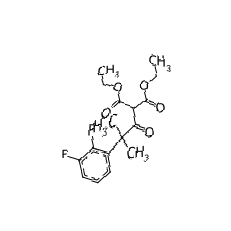 CCOC(=O)C(C(=O)OCC)C(=O)C(C)(C)c1cccc(F)c1F